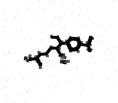 CCC(c1ccc([N+](=O)[O-])cc1)C(N)CCCC(N)=O.Cl